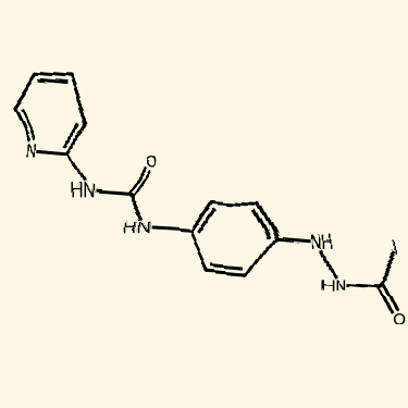 O=C(I)NNc1ccc(NC(=O)Nc2ccccn2)cc1